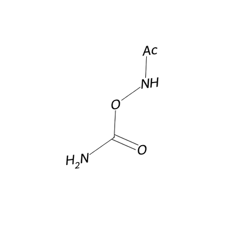 CC(=O)NOC(N)=O